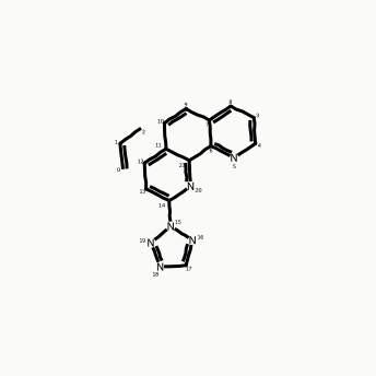 C=CC.c1cnc2c(c1)ccc1ccc(-n3ncnn3)nc12